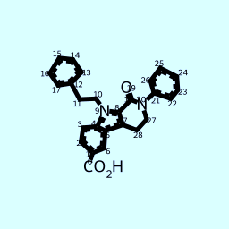 O=C(O)c1ccc2c(c1)c1c(n2CCc2ccccc2)C(=O)N(c2ccccc2)CC1